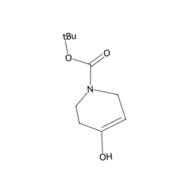 CC(C)(C)OC(=O)N1CC=C(O)CC1